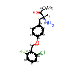 COC(=O)[C@](C)(N)Cc1ccc(OCc2c(F)cccc2Cl)cc1